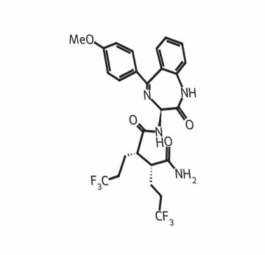 COc1ccc(C2=N[C@H](NC(=O)[C@@H](CCC(F)(F)F)[C@@H](CCC(F)(F)F)C(N)=O)C(=O)Nc3ccccc32)cc1